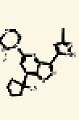 Cc1cc(-c2nsc3c(C4(C#N)CCCC4)cc(N4CCOC[C@H]4C)nc23)[nH]n1